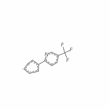 FC(F)(F)c1ccc(-c2cc[c]cc2)nc1